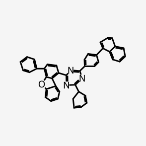 C1=CCC(c2nc(-c3ccc(-c4cccc5ccccc45)cc3)nc(-c3ccc(-c4ccccc4)c4oc5ccccc5c34)n2)C=C1